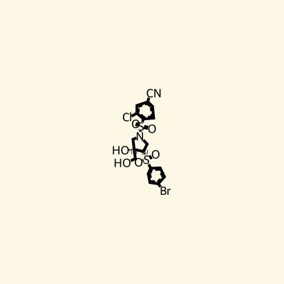 N#Cc1ccc(S(=O)(=O)N2C[C@H](S(=O)(=O)c3ccc(Br)cc3)[C@@](O)(CO)C2)c(Cl)c1